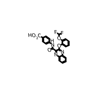 O=C(O)c1ccc(NC(=O)c2nc3ccccc3nc2Oc2ccccc2OC(F)F)cc1